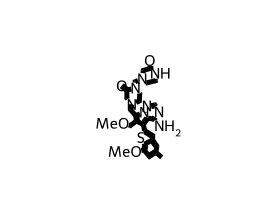 COCc1c(-c2cc3cc(C)cc(OC)c3s2)c2c(N)ncnn2c1CN1CCN(CN2CCNC(=O)C2)C(=O)C1